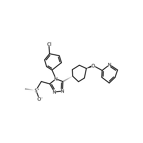 C[S@@+]([O-])Cc1nnc([C@H]2CC[C@H](Oc3ccccn3)CC2)n1-c1ccc(Cl)cc1